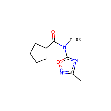 CCCCCCN(C(=O)C1CCCC1)c1nc(C)no1